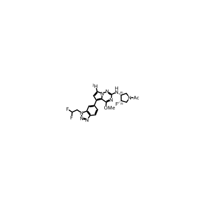 [2H]c1cc(-c2ccc3nnn(CC(F)F)c3c2)c2c(OC)nc(N[C@@H]3CN(C(C)=O)C[C@@H]3F)nn12